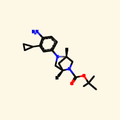 CC(C)(C)OC(=O)N1C[C@@H]2C[C@H]1CN2c1ccc(N)c(C2CC2)c1